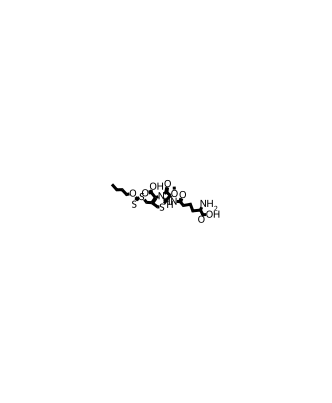 CCCCOC(=S)SCC1=C(C(=O)O)N2C(=O)[C@](NC(=O)CCCC(N)C(=O)O)(OC)[C@@H]2SC1